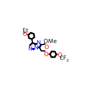 CCOc1cccc(-c2cncn3c(CCOc4ccc(OC(F)(F)F)cc4)c(C(=O)OC)nc23)c1